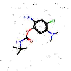 CN(C)c1cc(OC(=O)NC(C)(C)C)c(N)cc1Cl